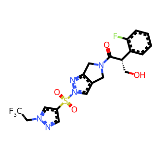 O=C([C@@H](CO)c1ccccc1F)N1Cc2cn(S(=O)(=O)c3cnn(CC(F)(F)F)c3)nc2C1